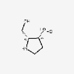 Cl.OC[C@H]1NCC[C@H]1O